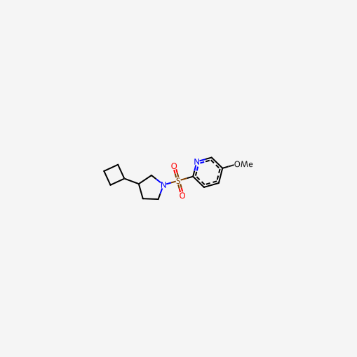 COc1ccc(S(=O)(=O)N2CCC(C3CCC3)C2)nc1